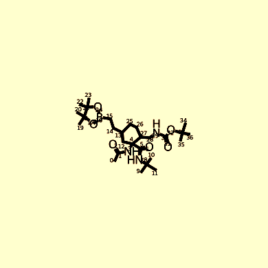 CC(=O)NC1(C(=O)NC(C)(C)C)CC(CCB2OC(C)(C)C(C)(C)O2)CCC1CNC(=O)OC(C)(C)C